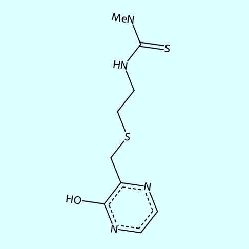 CNC(=S)NCCSCc1nccnc1O